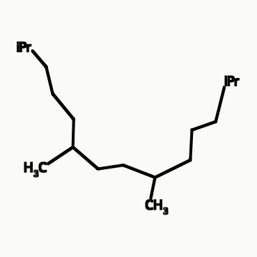 CC(C)CCCC(C)CCC(C)CCCC(C)C